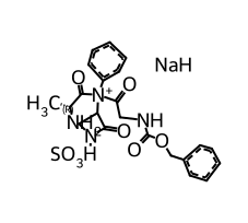 C[C@@H](N)C(=O)[N+](C(=O)CNC(=O)OCc1ccccc1)(c1ccccc1)C1CN(S(=O)(=O)O)C1=O.[NaH]